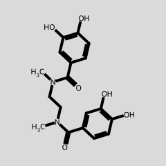 CN(CCN(C)C(=O)c1ccc(O)c(O)c1)C(=O)c1ccc(O)c(O)c1